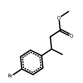 COC(=O)CC(C)c1ccc(Br)cc1